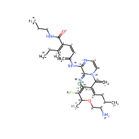 C=C(/C=C\C(C(=O)NCCC)=C(/C)CC)Nc1nccn(C(=C)C(=C\CCC)/C(Cl)=C(/F)C(C)OCCN)/c1=N\C